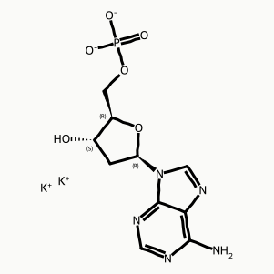 Nc1ncnc2c1ncn2[C@H]1C[C@H](O)[C@@H](COP(=O)([O-])[O-])O1.[K+].[K+]